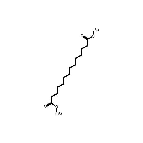 CCCCOC(=O)CCCCCCCCCCCCC(=O)OCCCC